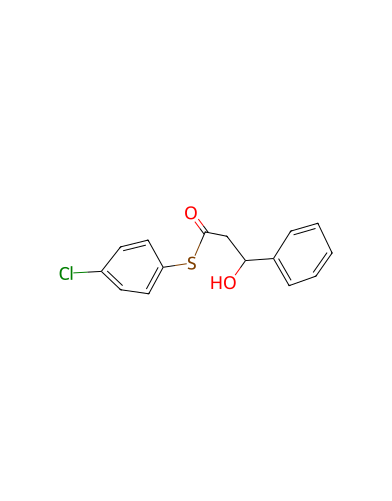 O=C(CC(O)c1ccccc1)Sc1ccc(Cl)cc1